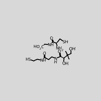 CC(C)(CO)C(O)C(=O)NCCC(=O)NCCS.NC(CS)C(=O)NCC(=O)O